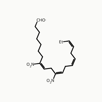 CC/C=C\C/C=C\C/C=C(\C/C=C(\CCCCCC[C]=O)[N+](=O)[O-])[N+](=O)[O-]